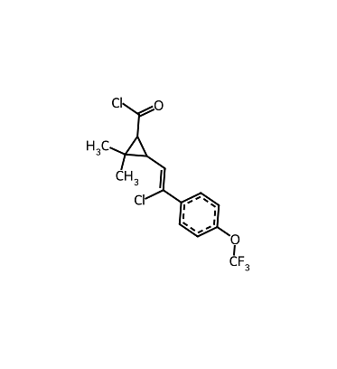 CC1(C)C(C=C(Cl)c2ccc(OC(F)(F)F)cc2)C1C(=O)Cl